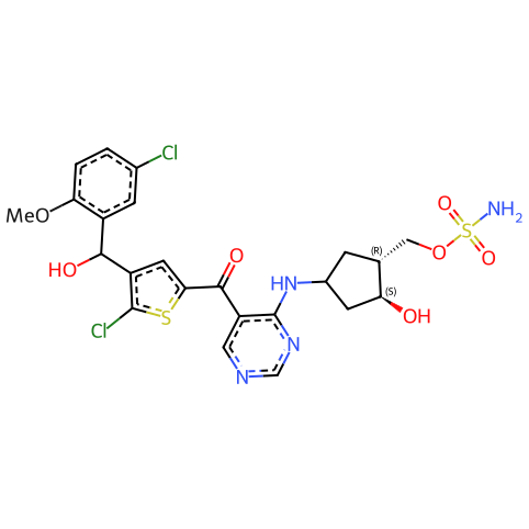 COc1ccc(Cl)cc1C(O)c1cc(C(=O)c2cncnc2NC2C[C@H](COS(N)(=O)=O)[C@@H](O)C2)sc1Cl